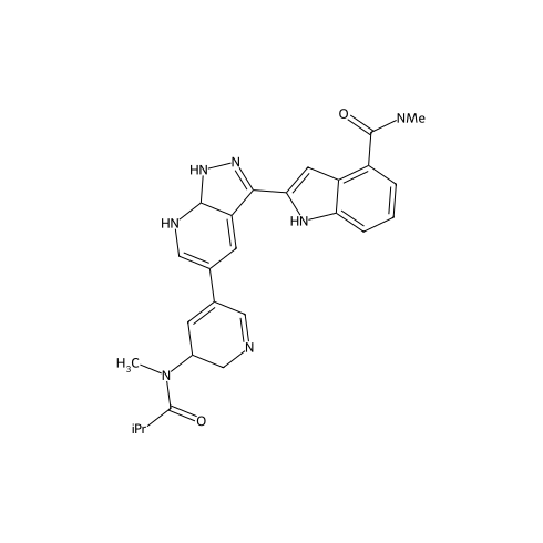 CNC(=O)c1cccc2[nH]c(C3=NNC4NC=C(C5=CC(N(C)C(=O)C(C)C)CN=C5)C=C34)cc12